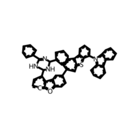 c1ccc(C2=NC(c3ccccc3)NC(c3cccc4oc5ccc(-c6ccc7c(c6)sc6c(-n8c9ccccc9c9ccccc98)cccc67)cc5c34)N2)cc1